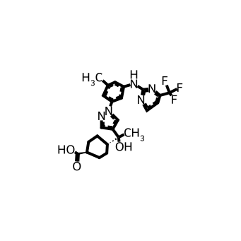 Cc1cc(Nc2nccc(C(F)(F)F)n2)cc(-n2cc(C(C)(O)[C@H]3CC[C@H](C(=O)O)CC3)cn2)c1